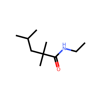 CCNC(=O)C(C)(C)CC(C)C